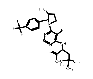 CC(=O)C(CC(C)(C)C)Nc1ncnc(N2CCC(C)C2c2ccc(C(F)(F)F)cc2)c1F